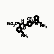 CCOC(=O)CC(NC(=O)c1ccc(-n2nc(CN)c3c2CCC3)c(C(F)(F)F)c1)c1cccc(CN)c1